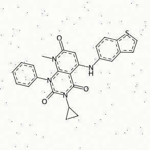 Cn1c(=O)cc(Nc2ccc3sccc3c2)c2c(=O)n(C3CC3)c(=O)n(-c3ccccc3)c21